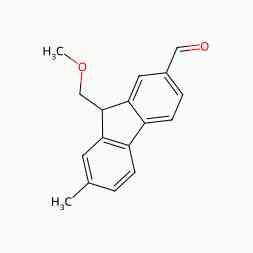 COCC1c2cc(C)ccc2-c2ccc(C=O)cc21